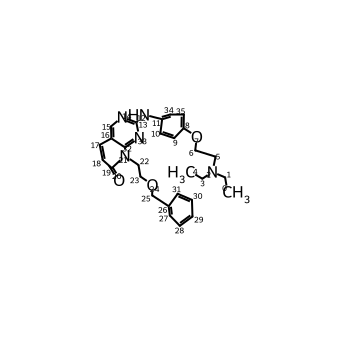 CCN(CC)CCOc1ccc(Nc2ncc3ccc(=O)n(CCOCc4ccccc4)c3n2)cc1